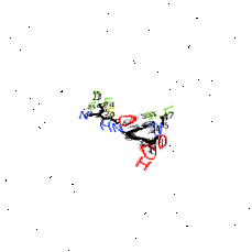 N#Cc1cc(C(=O)Nc2cc(O)c(=O)n(CC(F)F)c2)sc1C(F)(F)F